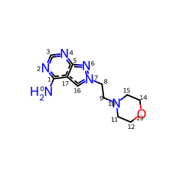 Nc1ncnc2nn(CCN3CCOCC3)cc12